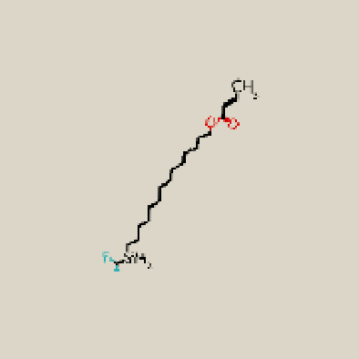 CC=CC(=O)OCCCCCCCCCCCCCC[SiH2]C(F)F